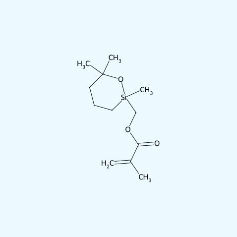 C=C(C)C(=O)OC[Si]1(C)CCCC(C)(C)O1